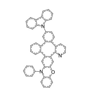 c1ccc(-n2c3ccccc3oc3cc4c(cc32)c2ccccc2c2cc(-n3c5ccccc5c5ccccc53)ccc2c2cccnc24)cc1